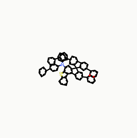 c1ccc(-c2ccc(N(c3ccccc3-c3ccccc3)c3cc4c(c5c3sc3ccccc35)-c3ccc(-c5ccccc5)cc3C43c4cc(-c5ccccc5)ccc4-c4ccc(-c5ccccc5)cc43)cc2)cc1